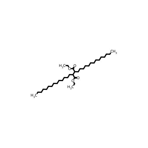 CCCCCCCCCCCCCCC(C(=O)OCC)C(CCCCCCCCCCCCCC)C(=O)OCC